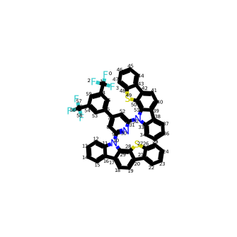 FC(F)(F)c1cc(-c2cc(-n3c4ccccc4c4ccc5c6ccccc6sc5c43)nc(-n3c4ccccc4c4ccc5c6ccccc6sc5c43)c2)cc(C(F)(F)F)c1